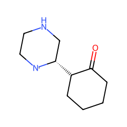 O=C1CCCCC1[C@H]1CNCC[N]1